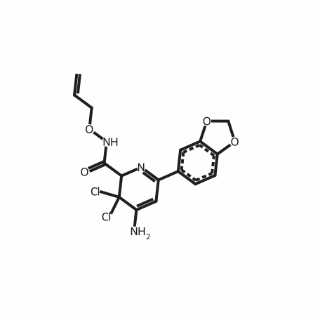 C=CCONC(=O)C1N=C(c2ccc3c(c2)OCO3)C=C(N)C1(Cl)Cl